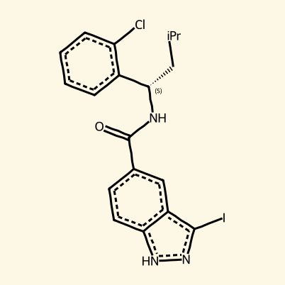 CC(C)C[C@H](NC(=O)c1ccc2[nH]nc(I)c2c1)c1ccccc1Cl